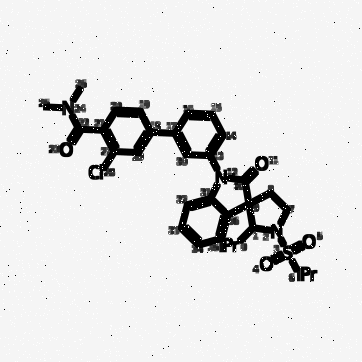 CC(C)C1N(S(=O)(=O)C(C)C)CCC12C(=O)N(c1cccc(-c3ccc(C(=O)N(C)C)c(Cl)c3)c1)c1ccccc12